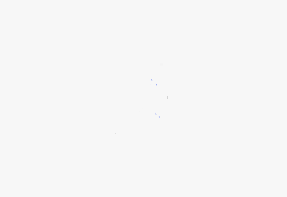 CCCN1C[C@@H](C(=O)O)N(CC)C1=O